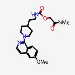 CNC(=O)COC(=O)NCCC1CCN(c2nccc3cc(OC)ccc23)CC1